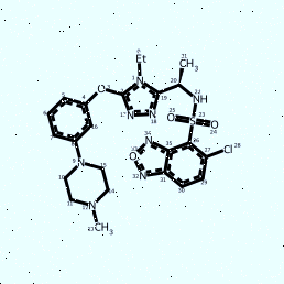 CCn1c(Oc2cccc(N3CCN(C)CC3)c2)nnc1[C@@H](C)NS(=O)(=O)c1c(Cl)ccc2nonc12